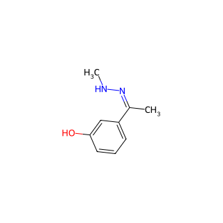 CN/N=C(/C)c1cccc(O)c1